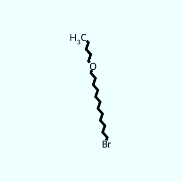 CCCCCOCCCCCCCCCCCCBr